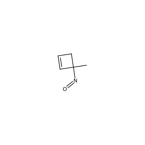 CC1(N=O)C=CC1